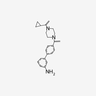 C=C(c1ccc(-c2cccc(N)c2)cc1)N1CCN(C(=C)C2CC2)CC1